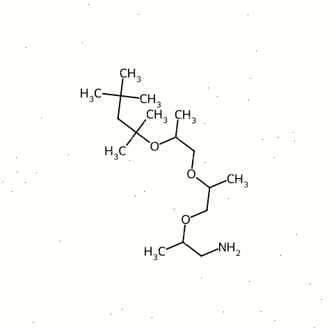 CC(CN)OCC(C)OCC(C)OC(C)(C)CC(C)(C)C